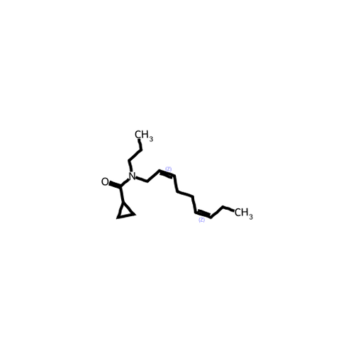 CC/C=C\CC/C=C\CN(CCC)C(=O)C1CC1